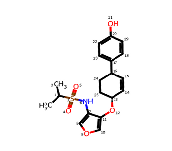 CC(C)S(=O)(=O)Nc1cocc1O[C@@H]1C=CC(c2ccc(O)cc2)CC1